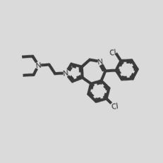 CCN(CC)CCn1cc2c(c1)-c1ccc(Cl)cc1C(c1ccccc1Cl)=NC2